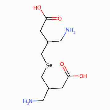 NCC(C[Se]CC(CN)CC(=O)O)CC(=O)O